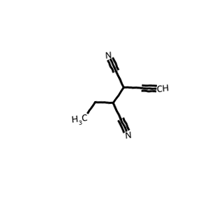 C#CC(C#N)C(C#N)CC